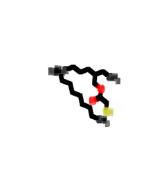 CCCCC(CC)COC(=O)CS.CCCCCCC[CH2][SnH]